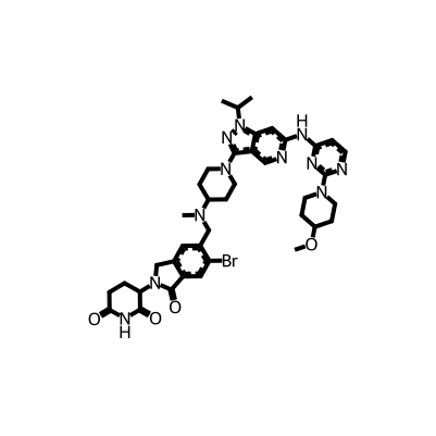 COC1CCN(c2nccc(Nc3cc4c(cn3)c(N3CCC(N(C)Cc5cc6c(cc5Br)C(=O)N(C5CCC(=O)NC5=O)C6)CC3)nn4C(C)C)n2)CC1